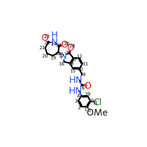 COc1ccc(NC(=O)NCc2ccc3c(c2)CN([C@H]2CCCC(=O)NC2=O)C3=O)cc1Cl